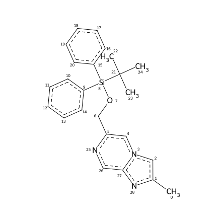 Cc1cn2cc(CO[Si](c3ccccc3)(c3ccccc3)C(C)(C)C)ncc2n1